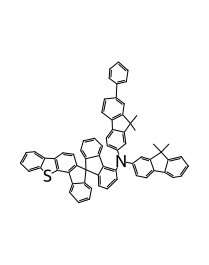 CC1(C)c2ccccc2-c2ccc(N(c3ccc4c(c3)C(C)(C)c3cc(-c5ccccc5)ccc3-4)c3cccc4c3-c3ccccc3C43c4ccccc4-c4c3ccc3c4sc4ccccc43)cc21